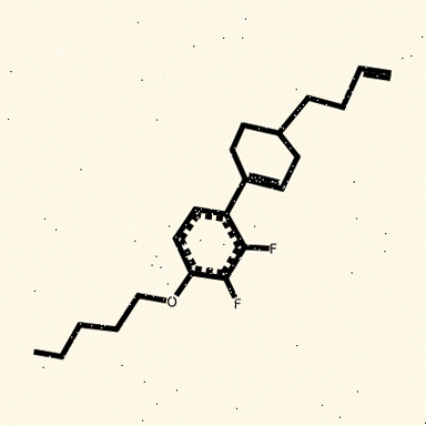 C=CCCC1CC=C(c2ccc(OCCCCC)c(F)c2F)CC1